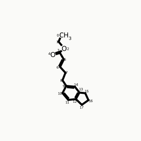 CCOC(=O)C=CCCc1ccc2c(c1)CCC2